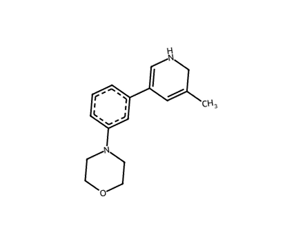 CC1=CC(c2cccc(N3CCOCC3)c2)=CNC1